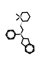 C[N+]1(C)CCCC[C@@H]1CCN(c1ccccc1)C1Cc2ccccc2C1